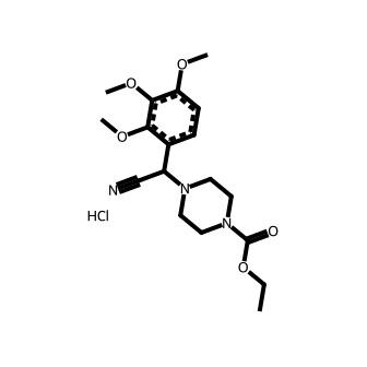 CCOC(=O)N1CCN(C(C#N)c2ccc(OC)c(OC)c2OC)CC1.Cl